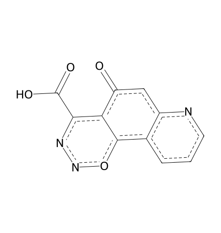 O=C(O)c1nnoc2c3cccnc3cc(=O)c1-2